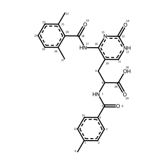 Cc1ccc(C(=O)NC(Cc2c[nH]c(=O)nc2NC(=O)c2c(C)cccc2C)C(=O)O)cc1